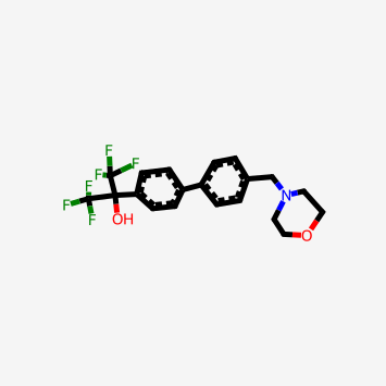 OC(c1ccc(-c2ccc(CN3CCOCC3)cc2)cc1)(C(F)(F)F)C(F)(F)F